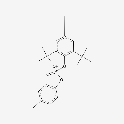 Cc1ccc2c(c1)C=P(O)(Oc1c(C(C)(C)C)cc(C(C)(C)C)cc1C(C)(C)C)O2